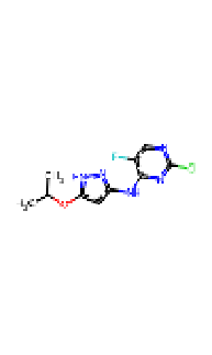 CC(C)Oc1cc(Nc2nc(Cl)ncc2F)n[nH]1